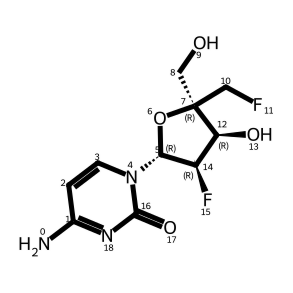 Nc1ccn([C@@H]2O[C@@](CO)(CF)[C@@H](O)[C@H]2F)c(=O)n1